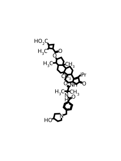 CC(C)C1=C2C3CCC4C(C)(CCC5C(C)C(OC(=O)C6CC(C(=O)O)C6C)CCC54C)C3CCC2(NC(=O)C(C)(C)NC(=O)c2ccc(CN3CCC(O)CC3)cc2)CC1=O